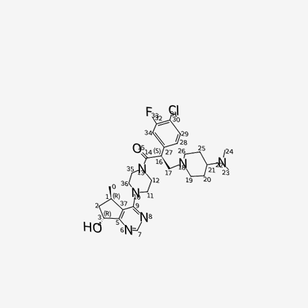 C[C@@H]1C[C@@H](O)c2ncnc(N3CCN(C(=O)[C@H](CN4CCC(N(C)C)CC4)c4ccc(Cl)c(F)c4)CC3)c21